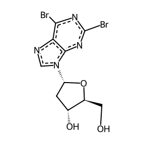 OC[C@@H]1O[C@@H](n2cnc3c(Br)nc(Br)nc32)C[C@H]1O